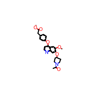 COC(=O)Cc1ccc(Oc2ccnc3cc(OC4CCN(C(C)=O)CC4)c(OC)cc23)cc1